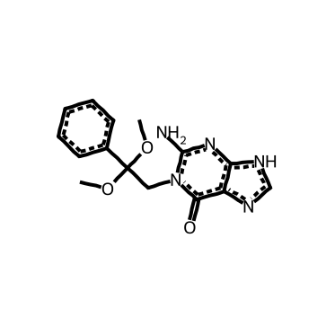 COC(Cn1c(N)nc2[nH]cnc2c1=O)(OC)c1ccccc1